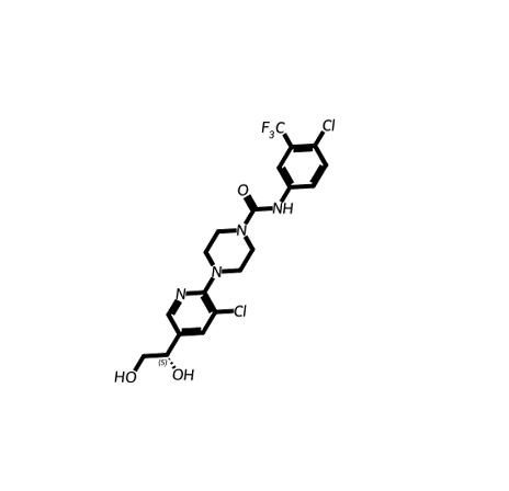 O=C(Nc1ccc(Cl)c(C(F)(F)F)c1)N1CCN(c2ncc([C@H](O)CO)cc2Cl)CC1